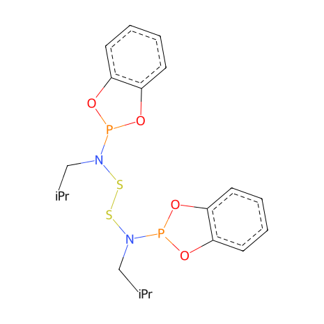 CC(C)CN(SSN(CC(C)C)P1Oc2ccccc2O1)P1Oc2ccccc2O1